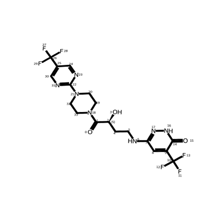 O=C([C@@H](O)CCNc1cc(C(F)(F)F)c(=O)[nH]n1)N1CCN(c2ncc(C(F)(F)F)cn2)CC1